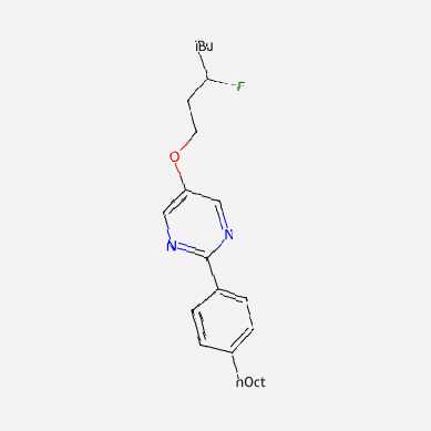 CCCCCCCCc1ccc(-c2ncc(OCCC(F)C(C)CC)cn2)cc1